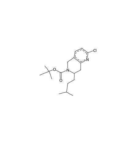 CC(C)CCC1Cc2nc(Cl)ccc2CN1C(=O)OC(C)(C)C